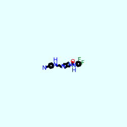 N#Cc1ccc(NCCCN2CC3CN(C(=O)Nc4ccc(F)c(F)c4)CC3C2)cc1